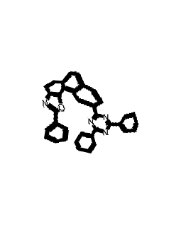 c1ccc(-c2nc(-c3ccccc3)nc(-c3ccc4ccc5ccc6nc(-c7ccccc7)oc6c5c4c3)n2)cc1